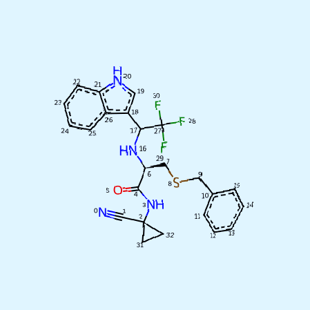 N#CC1(NC(=O)[C@H](CSCc2ccccc2)NC(c2c[nH]c3ccccc23)C(F)(F)F)CC1